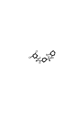 O=S(=O)(Nc1ccc(S(=O)(=O)Nc2ccccc2Br)cc1)c1cc(Cl)cc(Cl)c1